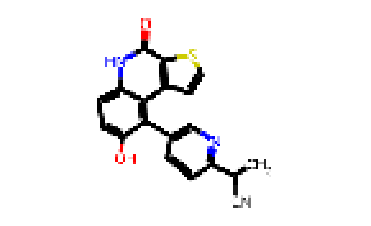 CC(C#N)c1ccc(-c2c(O)ccc3[nH]c(=O)c4sccc4c23)cn1